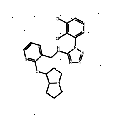 Clc1cccc(-n2nnnc2NCc2cccnc2OC2CCN3CCCC23)c1Cl